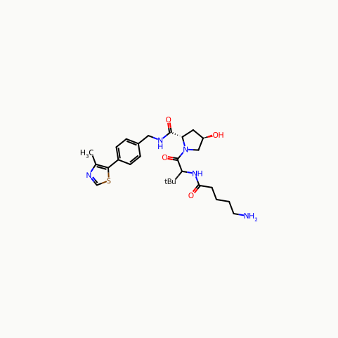 Cc1ncsc1-c1ccc(CNC(=O)[C@@H]2C[C@@H](O)CN2C(=O)C(NC(=O)CCCCN)C(C)(C)C)cc1